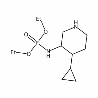 CCOP(=O)(NC1CNCCC1C1CC1)OCC